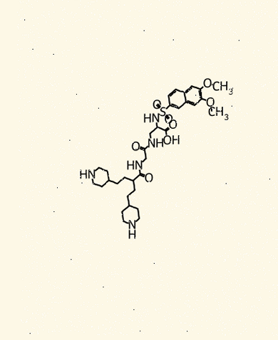 COc1cc2ccc(S(=O)(=O)NC(CNC(=O)CNC(=O)C(CCC3CCNCC3)CCC3CCNCC3)C(=O)O)cc2cc1OC